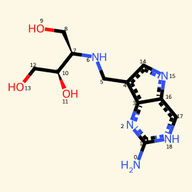 Nc1nc2c(CN[C@H](CO)[C@@H](O)CO)cnc-2c[nH]1